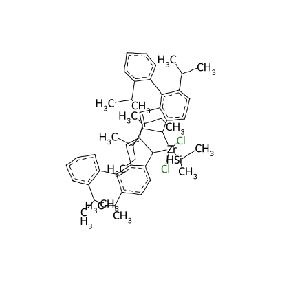 CCC(C)C1=Cc2c(ccc(C(C)C)c2-c2ccccc2C(C)C)[CH]1[Zr]([Cl])([Cl])([CH]1C(C(C)CC)=Cc2c1ccc(C(C)C)c2-c1ccccc1C(C)C)[SiH](C)C